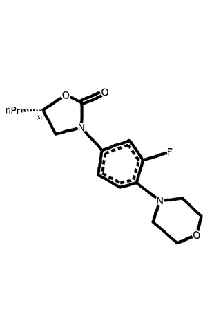 CCC[C@H]1CN(c2ccc(N3CCOCC3)c(F)c2)C(=O)O1